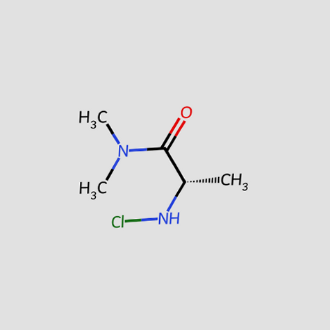 C[C@H](NCl)C(=O)N(C)C